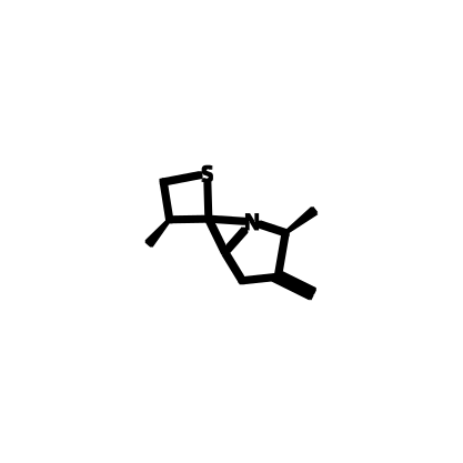 C=C1CC2N([C@H]1C)C21SC[C@@H]1C